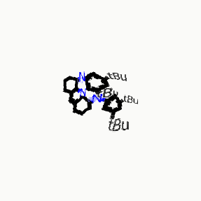 CC(C)(C)c1cc(/N=C2/CCCc3cc4c(nc32)/C(=N/c2cc(C(C)(C)C)cc(C(C)(C)C)c2)CCC4)cc(C(C)(C)C)c1